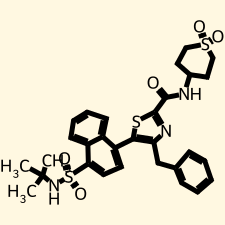 CC(C)(C)NS(=O)(=O)c1ccc(-c2sc(C(=O)NC3CCS(=O)(=O)CC3)nc2Cc2ccccc2)c2ccccc12